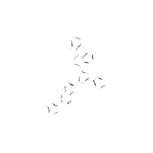 c1ccc(-c2ccc3cc(-c4nc(-c5ccccc5)nc(-c5ccc(-c6ccccc6)c6ccccc56)n4)ccc3c2)cc1